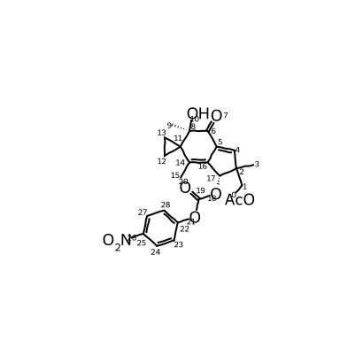 CC(=O)OCC1(C)C=C2C(=O)[C@](C)(O)C3(CC3)C(C)=C2[C@H]1OC(=O)Oc1ccc([N+](=O)[O-])cc1